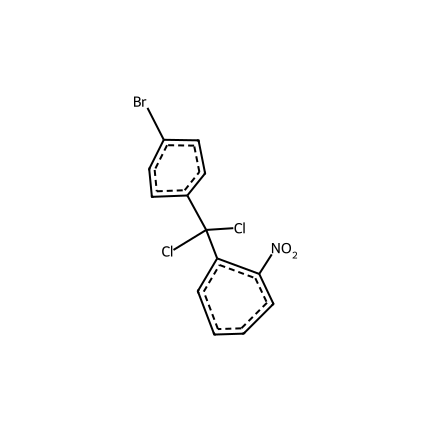 O=[N+]([O-])c1ccccc1C(Cl)(Cl)c1ccc(Br)cc1